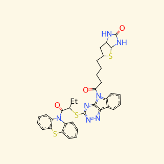 CCC(Sc1nnc2c3ccccc3n(C(=O)CCCCC3CC4NC(=O)NC4S3)c2n1)C(=O)N1c2ccccc2Sc2ccccc21